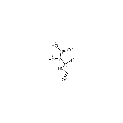 O=CNC(I)[C@@H](O)C(=O)O